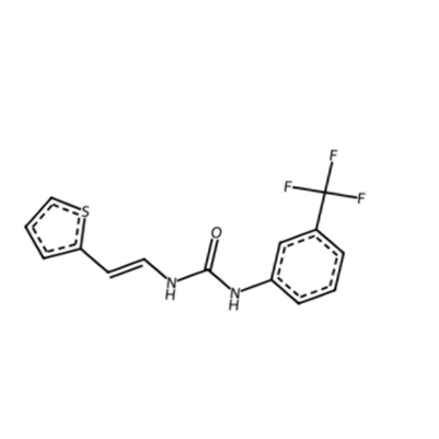 O=C(N/C=C/c1cccs1)Nc1cccc(C(F)(F)F)c1